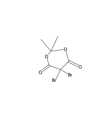 CC1(C)OC(=O)C(Br)(Br)C(=O)O1